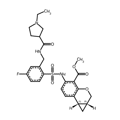 CCN1CCC(C(=O)NCc2cc(F)ccc2S(=O)(=O)Nc2ccc3c(c2C(=O)OC)OC[C@@H]2C[C@H]32)C1